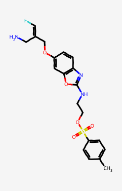 Cc1ccc(S(=O)(=O)OCCNc2nc3ccc(OC/C(=C/F)CN)cc3o2)cc1